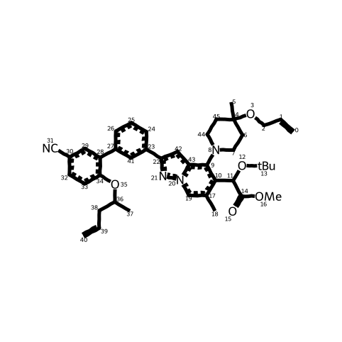 C=CCOC1(C)CCN(c2c(C(OC(C)(C)C)C(=O)OC)c(C)cn3nc(-c4cccc(-c5cc(C#N)ccc5OC(C)CC=C)c4)cc23)CC1